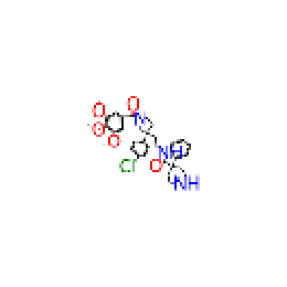 COc1cc(C(=O)N2CCC(CCNC(=O)C3(c4ccccc4)CCNCC3)(c3ccc(Cl)cc3)C2)cc(OC)c1OC